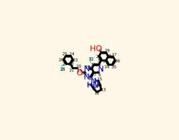 Oc1cc(-c2ncc3c(N4CC5CCC(C4)N5)nc(OCCc4ccccc4F)nc3c2F)c2ccccc2c1